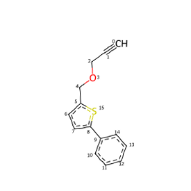 C#CCOCc1ccc(-c2ccccc2)s1